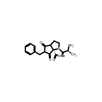 COC(=O)[C@]12C(=O)C(Cc3ccccc3)C(=O)C1CCN2C(=O)[C@H](C)N